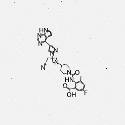 Cc1cc(F)cc(C(=O)O)c1NC(=O)N1CCC(N2CC(CC#N)(n3cc(-c4ncnc5[nH]ccc45)cn3)C2)CC1